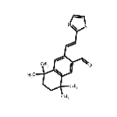 CC1(C)CCC(C)(C)c2cc(C=Cc3nccs3)c(C=O)cc21